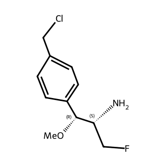 CO[C@H](c1ccc(CCl)cc1)[C@H](N)CF